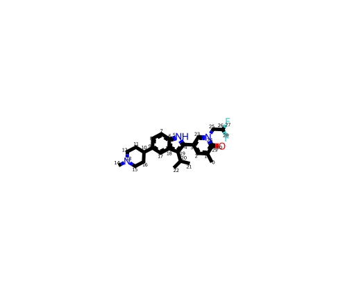 Cc1cc(-c2[nH]c3ccc(C4CCN(C)CC4)cc3c2C(C)C)cn(CC(F)F)c1=O